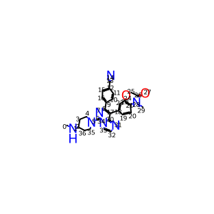 CNC1CCN(c2nc(-c3ccc(C#N)cc3)c(-c3ccc4c(c3)OCC(=O)N4C)c3nccn23)CC1